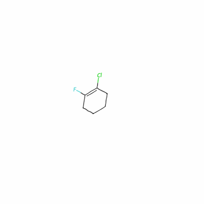 FC1=C(Cl)CCCC1